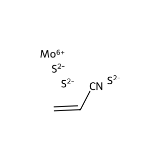 C=CC#N.[Mo+6].[S-2].[S-2].[S-2]